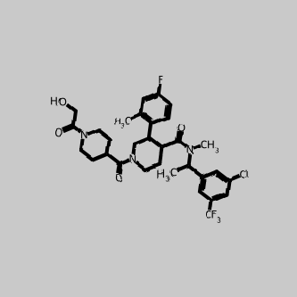 Cc1cc(F)ccc1C1CN(C(=O)C2CCN(C(=O)CO)CC2)CCC1C(=O)N(C)C(C)c1cc(Cl)cc(C(F)(F)F)c1